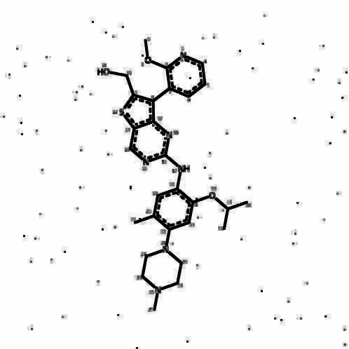 COc1ncccc1-c1c(CO)sc2cnc(Nc3cc(C)c(N4CCN(C)CC4)cc3OC(C)C)nc12